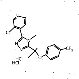 Cl.Cl.Cn1c(-c2ccncc2Cl)nnc1C(C)(C)Oc1ccc(C(F)(F)F)cc1